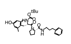 Cc1cc(O)cc(C)c1C[C@H](NC(=O)OC(C)(C)C)C(=O)N1CCC[C@H]1C(=O)NCCCc1ccccc1